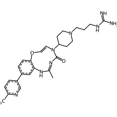 C/C1=N\C(=O)N(C2CCN(CCCNC(=N)N)CC2)/C=C/Oc2ccc(-c3ccc(C(F)(F)F)nc3)cc2N1